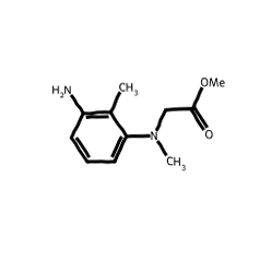 COC(=O)CN(C)c1cccc(N)c1C